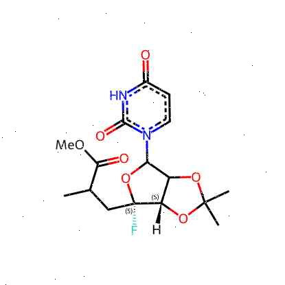 COC(=O)C(C)C[C@@]1(F)OC(n2ccc(=O)[nH]c2=O)C2OC(C)(C)O[C@@H]21